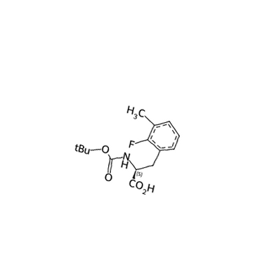 Cc1cccc(C[C@H](NC(=O)OC(C)(C)C)C(=O)O)c1F